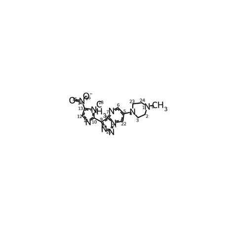 CN1CCN(c2cnc3c(-c4ncc([N+](=O)[O-])n4C)nnn3c2)CC1